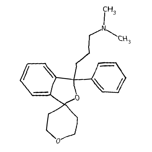 CN(C)CCCC1(c2ccccc2)OC2(CCOCC2)c2ccccc21